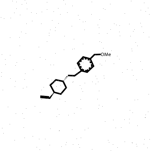 C=C[C@H]1CC[C@H](CCc2ccc(COC)cc2)CC1